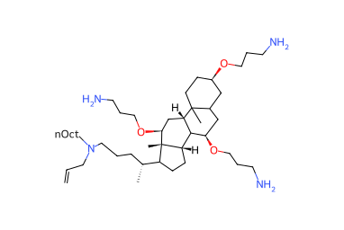 C=CCN(CCCCCCCC)CCC[C@@H](C)C1CC[C@H]2C3[C@H](OCCCN)CC4C[C@H](OCCCN)CCC4(C)[C@H]3C[C@H](OCCCN)[C@@]12C